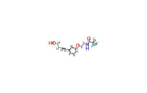 O=C(NCCOc1cccc(C#CCCO)c1)C(F)(F)F